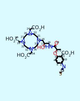 CC(Oc1ccc(N=C=S)cc1C(=O)O)C(=O)NCC(O)CN1CCN(CC(=O)O)CCN(CC(=O)O)CCN(CC(=O)O)CC1